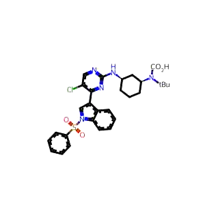 CC(C)(C)N(C(=O)O)[C@H]1CCC[C@@H](Nc2ncc(Cl)c(-c3cn(S(=O)(=O)c4ccccc4)c4ccccc34)n2)C1